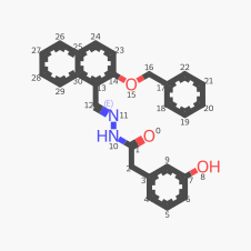 O=C(Cc1cccc(O)c1)N/N=C/c1c(OCc2ccccc2)ccc2ccccc12